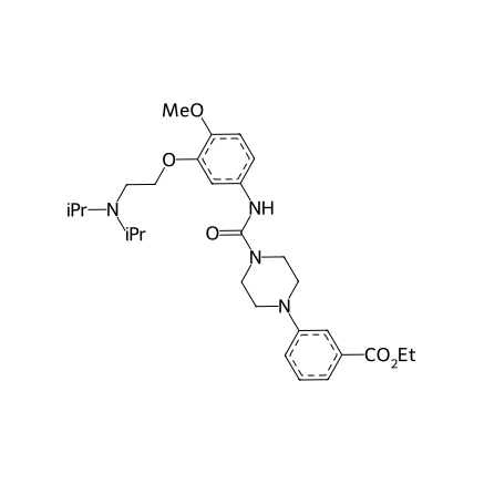 CCOC(=O)c1cccc(N2CCN(C(=O)Nc3ccc(OC)c(OCCN(C(C)C)C(C)C)c3)CC2)c1